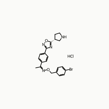 CC(=NOCc1ccc(Br)cc1)c1ccc(-c2noc([C@@H]3CCNC3)n2)cc1.Cl